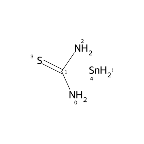 NC(N)=S.[SnH2]